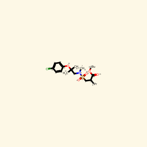 CC(C)C(CS(=O)(=O)N(C)CC(C)(C)Oc1ccc(Cl)cc1)C(=O)OC(C)(C)C